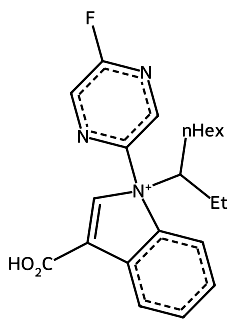 CCCCCCC(CC)[N+]1(c2cnc(F)cn2)C=C(C(=O)O)c2ccccc21